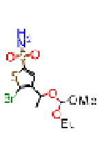 CCOC(OC)OC(C)c1cc(S(N)(=O)=O)sc1Br